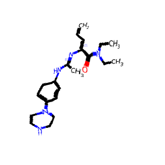 C=C/C=C(\N=C(/C)NC1C=CC(N2CCNCC2)=CC1)C(=O)N(CC)CC